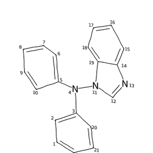 c1ccc(N(c2ccccc2)n2cnc3ccccc32)cc1